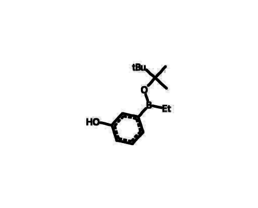 CCB(OC(C)(C)C(C)(C)C)c1cccc(O)c1